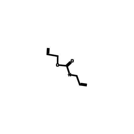 C=CC[N]C(=O)OCC=C